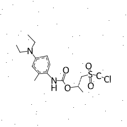 CCN(CC)c1ccc(NC(=O)OC(C)CS(=O)(=O)CCl)c(C)c1